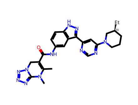 CC[C@H]1CCCN(c2cc(-c3n[nH]c4ccc(NC(=O)C5=C(C)N(C)c6nnnn6C5)cc34)ncn2)C1